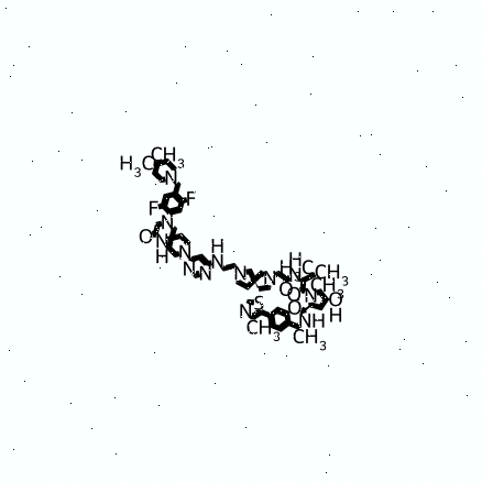 Cc1ncsc1-c1ccc([C@H](C)NC(=O)[C@@H]2C[C@@H](O)CN2C(=O)[C@@H](NC(=O)CN2CC[C@@]3(CCN(CCNc4cc(N5CCC6(CC5)CN(c5cc(F)c(CN7CCC(C)(C)CC7)cc5F)CC(=O)N6)ncn4)C3)C2)C(C)(C)C)cc1